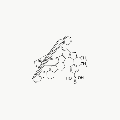 Cc1cc(P(=O)(O)O)ccc1C1c2c(c3c4ccc5c6ccc7c8c9c%10c%11c%12c%13c%14c%15c(c2C%14CCC%13C%11CCC7%10)c3c2c4c5c(c68)c3c9c%12c%15c23)CN1C